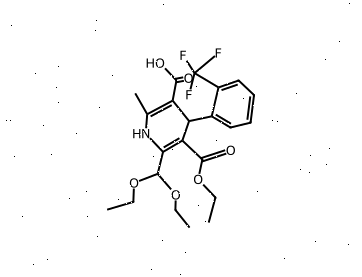 CCOC(=O)C1=C(C(OCC)OCC)NC(C)=C(C(=O)O)C1c1ccccc1C(F)(F)F